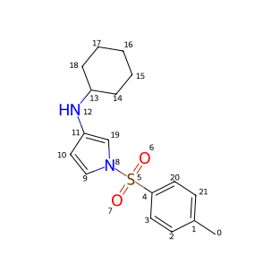 Cc1ccc(S(=O)(=O)n2ccc(NC3CCCCC3)c2)cc1